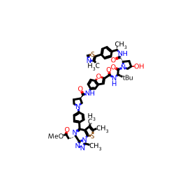 COC(=O)C[C@@H]1N=C(c2ccc(N3CC[C@@H](C(=O)Nc4ccc5oc(C(=O)NC(C(=O)N6C[C@H](O)C[C@H]6C(=O)N[C@@H](C)c6ccc(-c7scnc7C)cc6)C(C)(C)C)cc5c4)C3)cc2)c2c(sc(C)c2C)-n2c(C)nnc21